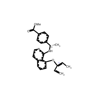 C=C/C(=C\C)Oc1cccc2ccnc(N[C@@H](C)c3ccc(C(=O)OC)cc3)c12